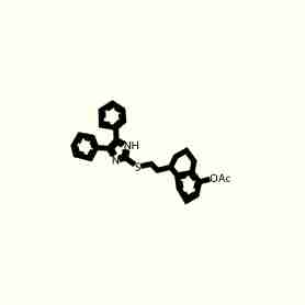 CC(=O)Oc1cccc2c1CCCC2CCSc1nc(-c2ccccc2)c(-c2ccccc2)[nH]1